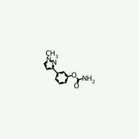 Cn1ccc(-c2cccc(OC(N)=O)c2)n1